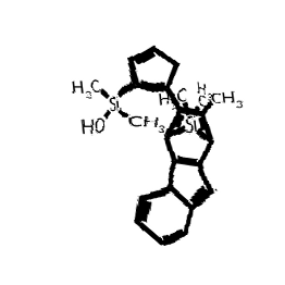 CC1=C2C3=C(C(=C1C1=C([Si](C)(C)O)C=CC1)[Si]2(C)C)C1C=CC=CC1=[C]3